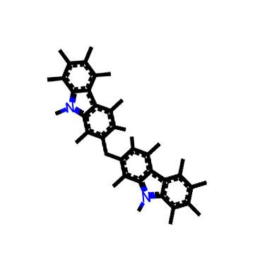 Cc1c(C)c(C)c2c(c1C)c1c(C)c(C)c(Cc3c(C)c(C)c4c5c(C)c(C)c(C)c(C)c5n(C)c4c3C)c(C)c1n2C